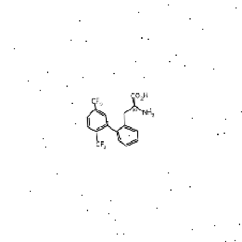 N[C@@H](Cc1ccccc1-c1cc(C(F)(F)F)ccc1C(F)(F)F)C(=O)O